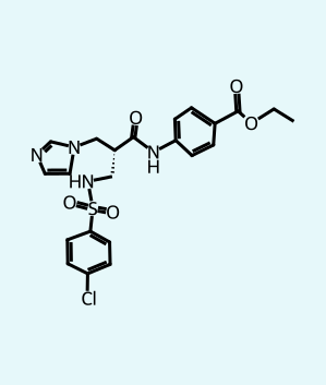 CCOC(=O)c1ccc(NC(=O)[C@H](CNS(=O)(=O)c2ccc(Cl)cc2)Cn2ccnc2)cc1